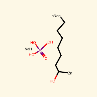 CCCCCCCCCCCCCCC[CH](O)[Zn].O=P(O)(O)O.[NaH]